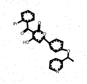 CC(C)c1ccccc1C(=O)c1c(O)cc(-c2ccc(OC(C)c3cccnc3)cc2)oc1=O